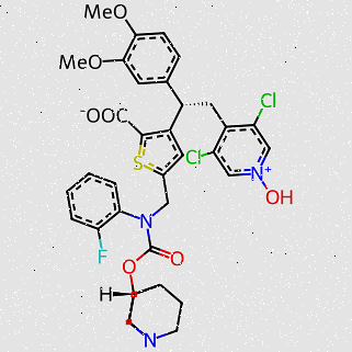 COc1ccc([C@H](Cc2c(Cl)c[n+](O)cc2Cl)c2cc(CN(C(=O)O[C@H]3CN4CCC3CC4)c3ccccc3F)sc2C(=O)[O-])cc1OC